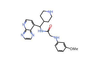 COc1cccc(NCC(=O)NC(c2ccnc3nccnc23)C2CCNCC2)c1